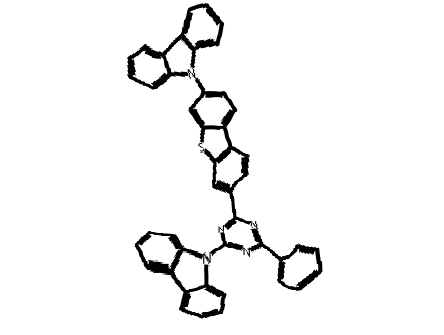 c1ccc(-c2nc(-c3ccc4c(c3)sc3cc(-n5c6ccccc6c6ccccc65)ccc34)nc(-n3c4ccccc4c4ccccc43)n2)cc1